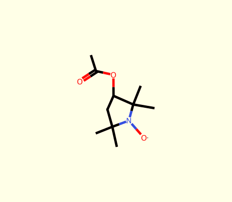 CC(=O)OC1CC(C)(C)N([O])C1(C)C